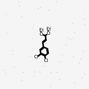 CCOC(C=Cc1ccc(Cl)c(Cl)c1)OCC